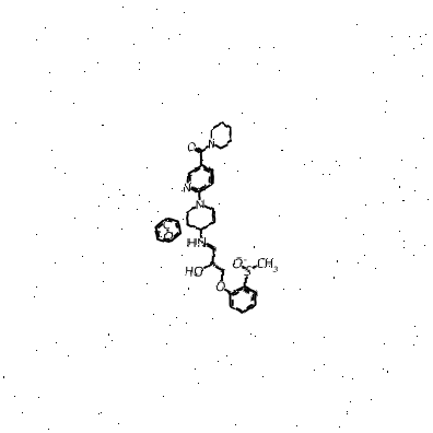 C[S+]([O-])c1ccccc1OCC(O)CNC1CCN(c2ccc(C(=O)N3CCCCC3)cn2)CC1.c1cc2ccc1CO2